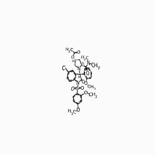 COc1ccc(S(=O)(=O)N2C(=O)[C@@](c3ccccc3OC)(N3C[C@H](OC(C)=O)C[C@H]3C(=O)N(C)C)c3cc(Cl)ccc32)c(OC)c1